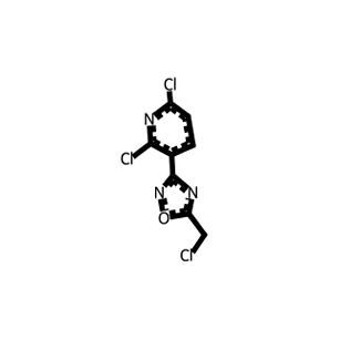 ClCc1nc(-c2ccc(Cl)nc2Cl)no1